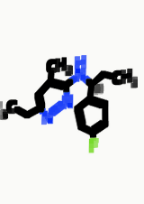 CCc1cc(C)c(N[C@@H](CC)c2ccc(F)cc2)nn1